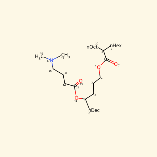 CCCCCCCCCCC(CCCOC(=O)C(CCCCCC)CCCCCCCC)OC(=O)CCCN(C)C